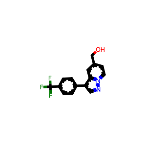 OCc1ccn2ncc(-c3ccc(C(F)(F)F)cc3)c2c1